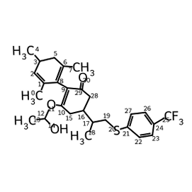 CC1=CC(C)CC(C)=C1C1=C(OC(C)O)CC(C(C)CSc2ccc(C(F)(F)F)cc2)CC1=O